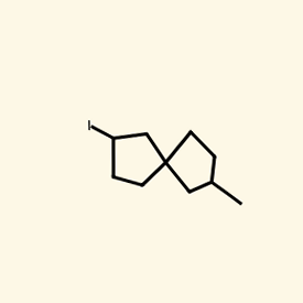 CC1CCC2(CCC(I)C2)C1